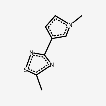 Cc1nc(-c2ccn(C)c2)ns1